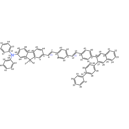 CC1(C)c2cc(/C=C/c3ccc(/C=C/c4ccc(-c5cc6ccccc6cc5-c5ccc(-c6ccccc6)cc5)cc4)cc3)ccc2-c2ccc(N(c3ccccc3)c3ccccc3)cc21